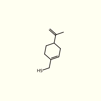 C=C(C)C1CC=C(CS)CC1